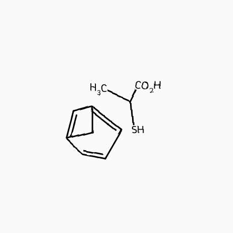 CC(S)C(=O)O.c1cc2cc(c1)C2